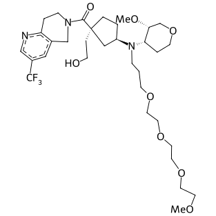 COCCOCCOCCOCCCN([C@@H]1CC[C@](CCO)(C(=O)N2CCc3ncc(C(F)(F)F)cc3C2)C1)[C@H]1CCOC[C@H]1OC